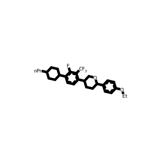 CCCC1CCC(c2ccc(C3CCC(c4ccc(OCC)cc4)OC3)c(C(F)(F)F)c2F)CC1